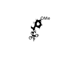 COc1ccc(C(C)=NOS(=O)(=O)F)cc1